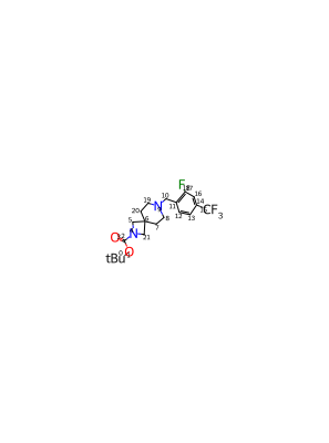 CC(C)(C)OC(=O)N1CC2(CCN(Cc3ccc(C(F)(F)F)cc3F)CC2)C1